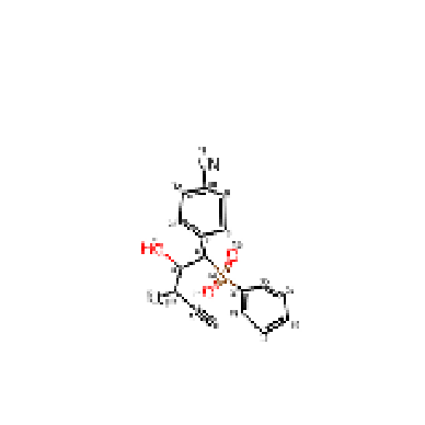 C#CC(CC)C(O)C(c1ccc(C#N)cc1)S(=O)(=O)c1ccccc1